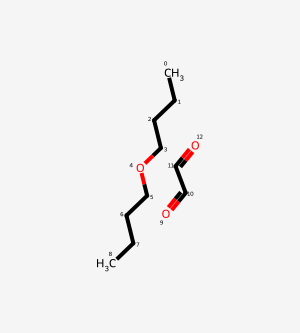 CCCCOCCCC.O=CC=O